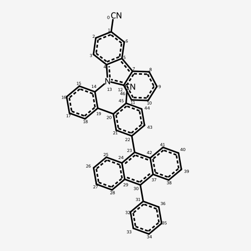 N#Cc1ccc2c(c1)c1ccccc1n2-c1ccccc1-c1cc(-c2c3ccccc3c(-c3ccccc3)c3ccccc23)ccc1C#N